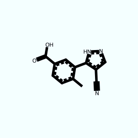 Cc1ccc(C(=O)O)cc1-c1[nH]ncc1C#N